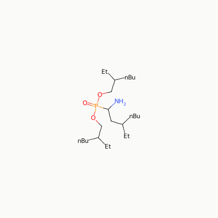 CCCCC(CC)COP(=O)(OCC(CC)CCCC)C(N)CC(CC)CCCC